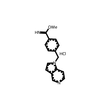 COC(=N)c1ccc(Cn2ccc3cnccc32)cc1.Cl